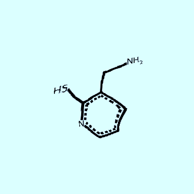 NCc1cccnc1S